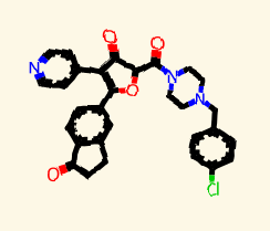 O=C1CCc2cc(C3=C(c4ccncc4)C(=O)C(C(=O)N4CCN(Cc5ccc(Cl)cc5)CC4)O3)ccc21